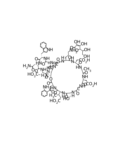 CCCCCCCCCC(=O)N[C@@H](Cc1c[nH]c2ccccc12)C(=O)N[C@@H](CC(N)=O)C(=O)N[C@@H](CC(=O)O)C(=O)N[C@@H]1C(=O)NCC(=O)N[C@@H](CCCN)C(=O)N[C@@H](CC(=O)O)C(=O)N[C@H](C)C(=O)N[C@@H](CC(=O)O)C(=O)NCC(=O)N[C@H](CO)C(=O)N[C@@H]([C@H](C)CC(=O)O)C(=O)N[C@@H](CC(=O)c2ccccc2N)C(=O)O[C@@H]1C.O=C1O[C@H]([C@@H](O)CO)C(O)=C1O